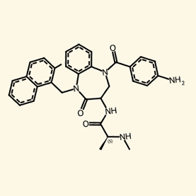 CN[C@@H](C)C(=O)NC1CN(C(=O)c2ccc(N)cc2)c2ccccc2N(Cc2c(C)ccc3ccccc23)C1=O